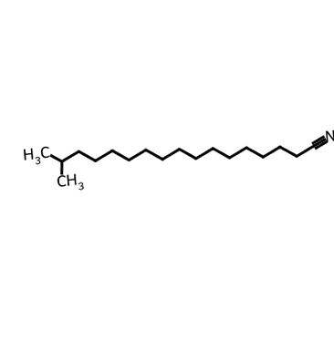 CC(C)CCCCCCCCCCCCCCC#N